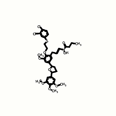 CCCC(=O)N(O)/C=C/Cc1cc(C2CCC(c3cc(OC)c(OC)c(OC)c3)O2)cc(OC)c1OCCSc1ccc(Cl)c(Cl)c1